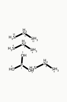 OP(O)O.[SiH3][SiH2][SiH3].[SiH3][SiH2][SiH3].[SiH3][SiH2][SiH3]